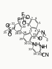 Cc1nc(-c2ccc3c(c2)OC(F)(F)O3)c(-c2cc(-c3cccc(S(C)(=O)=O)c3)ccc2N/C=C\C(=N)C#N)o1